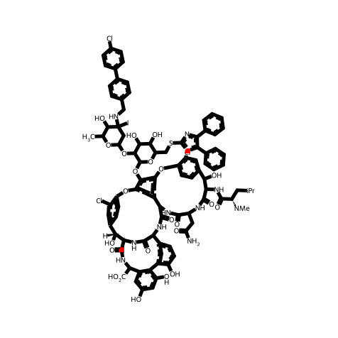 CN[C@@H](CC(C)C)C(=O)NC1C(=O)NC(CC(N)=O)C(=O)NC2C(=O)NC3C(=O)N[C@H](C(=O)NC(C(=O)O)c4cc(O)cc(O)c4-c4cc3ccc4O)[C@H](O)c3ccc(c(Cl)c3)Oc3cc2cc(c3OC2OC(CSc3nc(-c4ccccc4)c(-c4ccccc4)o3)C(O)C(O)C2OC2CC(I)(NCc3ccc(-c4ccc(Cl)cc4)cc3)C(O)C(C)O2)Oc2ccc(cc2Cl)C1O